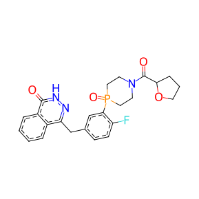 O=C(C1CCCO1)N1CCP(=O)(c2cc(Cc3n[nH]c(=O)c4ccccc34)ccc2F)CC1